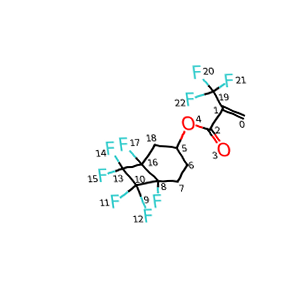 C=C(C(=O)OC1CCC2(F)C(F)(F)C(F)(F)C2(F)C1)C(F)(F)F